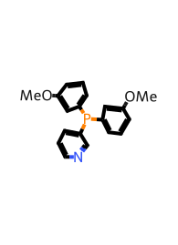 COc1cccc(P(c2cccnc2)c2cccc(OC)c2)c1